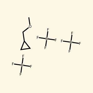 COCC1CC1.F[B-](F)(F)F.F[B-](F)(F)F.F[B-](F)(F)F